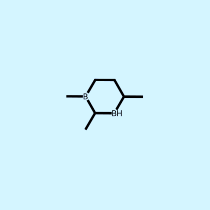 CB1CCC(C)BC1C